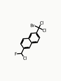 FC(Cl)c1ccc2cc(C(Cl)(Cl)Br)ccc2c1